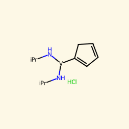 CC(C)[NH][V]([NH]C(C)C)[C]1=CC=CC1.Cl